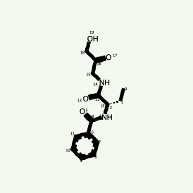 CC[C@H](NC(=O)c1ccccc1)C(=O)NCC(=O)CO